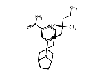 CCCC(C)(C)CNCCN1C2CCC1CC(c1cccc(C(N)=O)c1)C2